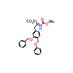 CCOC(=O)[C@H](Cc1ccc(COc2ccccc2)c(OCc2ccccc2)c1)NC(=O)OC(C)(C)C